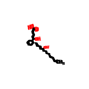 CCCCCCCCC(O)C=CC=C[C@@H]1CC=CC[C@H]1C(O)CCCC(=O)O